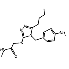 CCCCc1nnc(SCC(=O)NC)n1Cc1ccc(N)cc1